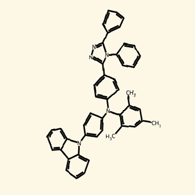 Cc1cc(C)c(N(c2ccc(-c3nnc(-c4ccccc4)n3-c3ccccc3)cc2)c2ccc(-n3c4ccccc4c4ccccc43)cc2)c(C)c1